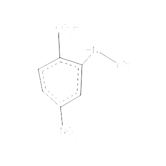 CCCNc1cc([N+](=O)[O-])ccc1C(=O)O